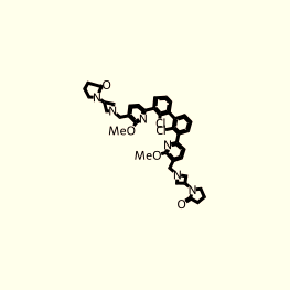 COc1nc(-c2cccc(-c3cccc(-c4ccc(CN5CC(N6CCCC6=O)C5)c(OC)n4)c3Cl)c2Cl)ccc1CN1CC(N2CCCC2=O)C1